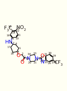 O=C(COC1CCC(Nc2ccc([N+](=O)[O-])c(C(F)(F)F)c2)CC1)N1CCN(c2nc3cc(C(F)(F)F)ccc3o2)CC1